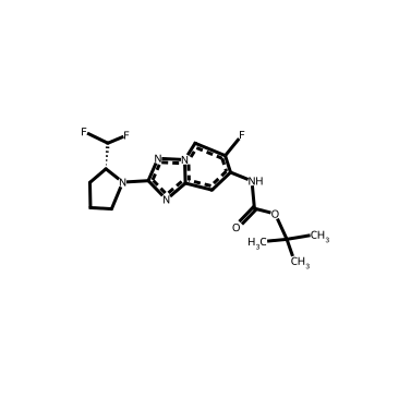 CC(C)(C)OC(=O)Nc1cc2nc(N3CCC[C@@H]3C(F)F)nn2cc1F